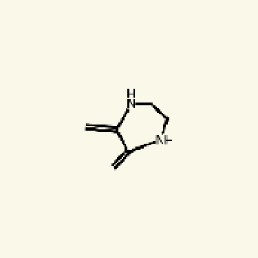 C=C1NCCNC1=C